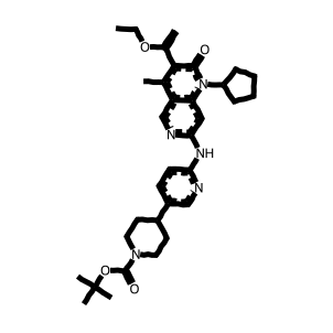 C=C(OCC)c1c(C)c2cnc(Nc3ccc(C4CCN(C(=O)OC(C)(C)C)CC4)cn3)cc2n(C2CCCC2)c1=O